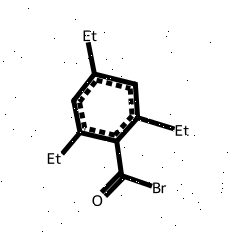 CCc1cc(CC)c(C(=O)Br)c(CC)c1